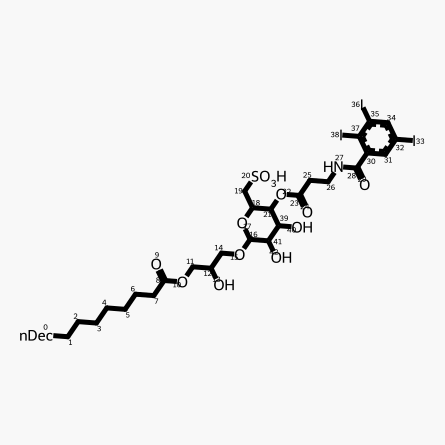 CCCCCCCCCCCCCCCCCC(=O)OCC(O)COC1OC(CS(=O)(=O)O)C(OC(=O)CCNC(=O)c2cc(I)cc(I)c2I)C(O)C1O